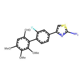 COc1cc(C=O)c(-c2ccc(-c3csc(N)n3)cc2F)c(OC)c1OC